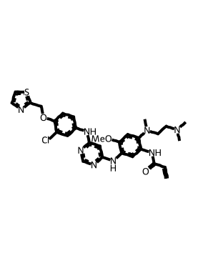 C=CC(=O)Nc1cc(Nc2cc(Nc3ccc(OCc4nccs4)c(Cl)c3)ncn2)c(OC)cc1N(C)CCN(C)C